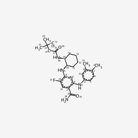 Cc1ccc(Nc2nc(N[C@@H]3CCCC[C@@H]3NC(=O)OC(C)(C)C)c(F)cc2C(N)=O)cc1C